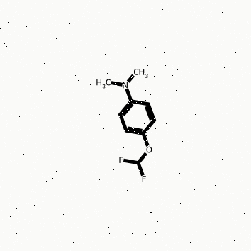 CN(C)c1ccc(OC(F)F)cc1